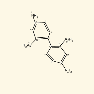 Nc1ccc(-c2ccc(N)cc2[AsH2])c([AsH2])c1